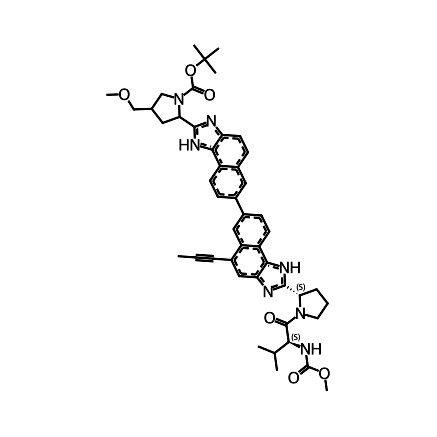 CC#Cc1cc2nc([C@@H]3CCCN3C(=O)[C@@H](NC(=O)OC)C(C)C)[nH]c2c2ccc(-c3ccc4c(ccc5nc(C6CC(COC)CN6C(=O)OC(C)(C)C)[nH]c54)c3)cc12